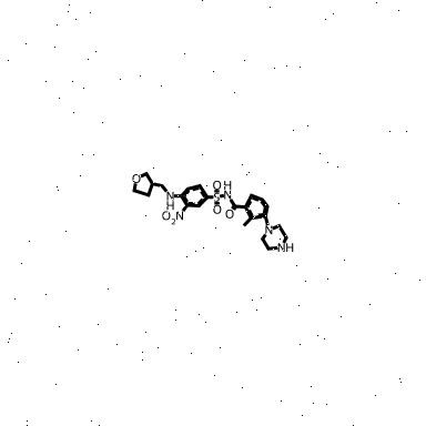 Cc1c(C(=O)NS(=O)(=O)c2ccc(NCC3CCOC3)c([N+](=O)[O-])c2)cccc1N1CCNCC1